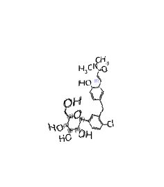 CN(C)C(=O)/C=C/c1cc(Cc2cc([C@@H]3O[C@H](CO)[C@@H](O)[C@H](O)[C@H]3O)ccc2Cl)ccc1O